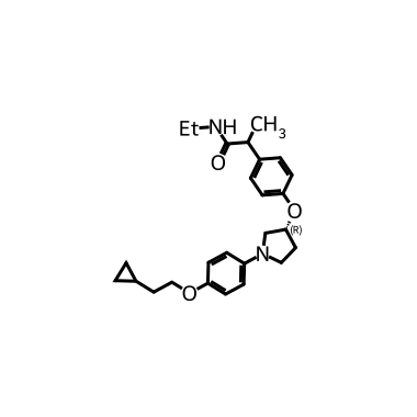 CCNC(=O)C(C)c1ccc(O[C@@H]2CCN(c3ccc(OCCC4CC4)cc3)C2)cc1